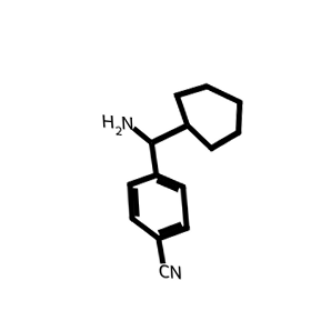 N#Cc1ccc(C(N)C2CCCCC2)cc1